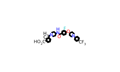 Cc1c(CN2CCC(NC(=O)c3ccc(OC4CCN(c5ccc(C(F)(F)F)cc5)CC4)c(F)c3)CC2)cccc1C(=O)O